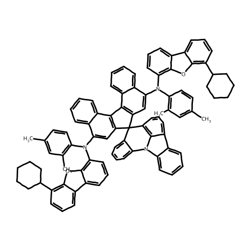 Cc1ccc(N(c2cc3c(c4ccccc24)-c2c(cc(N(c4ccc(C)cc4C)c4cccc5c4oc4c(C6CCCCC6)cccc45)c4ccccc24)C32c3ccccc3-n3c4ccccc4c4cccc2c43)c2cccc3c2oc2c(C4CCCCC4)cccc23)c(C)c1